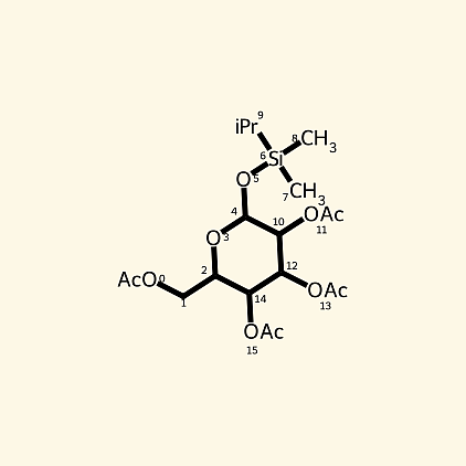 CC(=O)OCC1OC(O[Si](C)(C)C(C)C)C(OC(C)=O)C(OC(C)=O)C1OC(C)=O